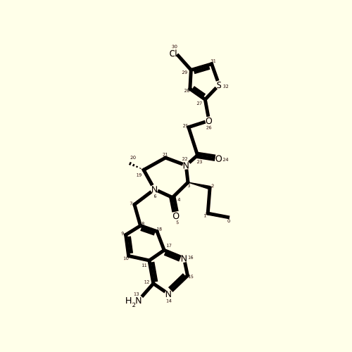 CCC[C@H]1C(=O)N(Cc2ccc3c(N)ncnc3c2)[C@H](C)CN1C(=O)COc1cc(Cl)cs1